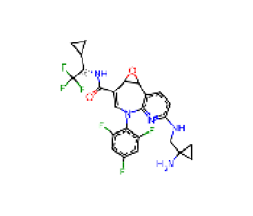 NC1(CNc2ccc3c(n2)N(c2c(F)cc(F)cc2F)C=C(C(=O)N[C@@H](C2CC2)C(F)(F)F)C2OC32)CC1